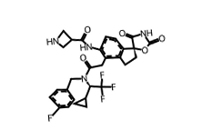 O=C1NC(=O)[C@]2(CCc3c2ccc(NC(=O)C2CNC2)c3CC(=O)N(Cc2ccc(F)cc2)[C@H](C2CC2)C(F)(F)F)O1